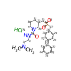 CN(C)CCNC(=O)N1CCCC(CS(=O)(=O)Cc2ccc(-c3ccccc3)cc2)C1.Cl